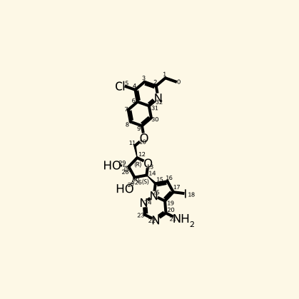 CCc1cc(Cl)c2ccc(OC[C@H]3O[C@@H](c4cc(I)c5c(N)ncnn45)[C@H](O)[C@@H]3O)cc2n1